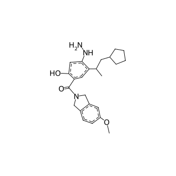 COc1ccc2c(c1)CN(C(=O)c1cc(C(C)CC3CCCC3)c(NN)cc1O)C2